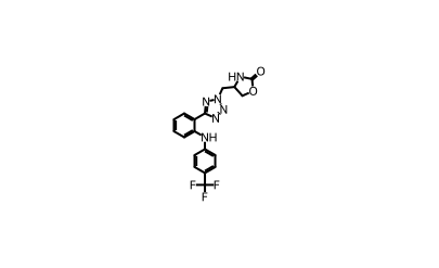 O=C1NC(Cn2nnc(-c3ccccc3Nc3ccc(C(F)(F)F)cc3)n2)CO1